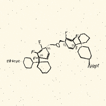 CCCCCCC[C@H]1CC[C@H](C2([C@@]3(F)C=C[C@@H](COC[C@@H]4C=C[C@](F)(C5([C@H]6CC[C@H](CCCCCCC)CC6)CCCCC5)C(F)=C4F)C(F)=C3F)CCCCC2)CC1